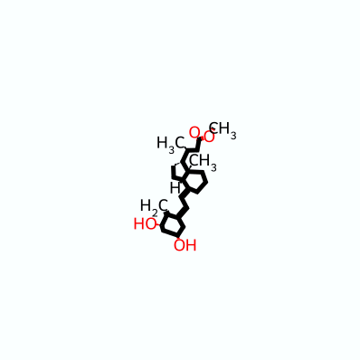 C=C1C(=CC=C2CCC[C@]3(C)[C@@H]([C@H](C)CC(=O)OC)CC[C@@H]23)C[C@@H](O)C[C@@H]1O